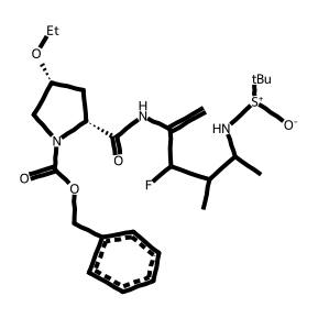 C=C(NC(=O)[C@H]1C[C@@H](OCC)CN1C(=O)OCc1ccccc1)C(F)C(C)C(C)N[S+]([O-])C(C)(C)C